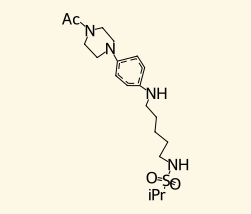 CC(=O)N1CCN(c2ccc(NCCCCCNS(=O)(=O)C(C)C)cc2)CC1